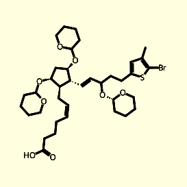 Cc1cc(CCC(/C=C/[C@@H]2[C@@H](C/C=C\CCCC(=O)O)[C@@H](OC3CCCCO3)C[C@H]2OC2CCCCO2)O[C@H]2CCCCO2)sc1Br